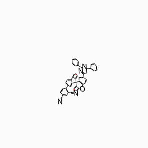 N#Cc1ccc(-c2ccc3c(c2)C2(c4ccccc4Oc4ccc(-c5cc(-c6ccccc6)nc(-c6ccccc6)n5)cc42)c2ccccc2-3)c(C#N)c1